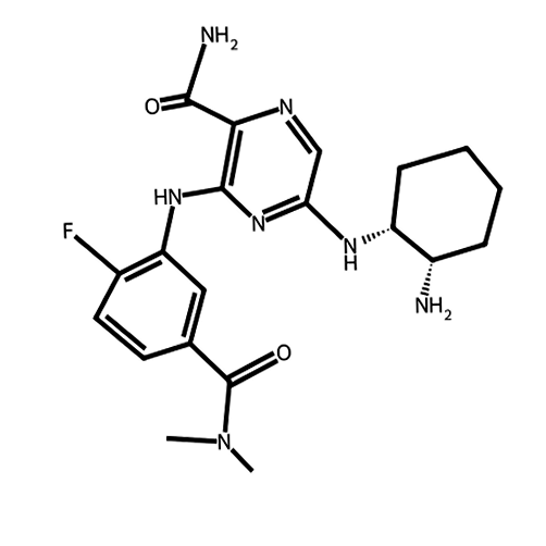 CN(C)C(=O)c1ccc(F)c(Nc2nc(N[C@@H]3CCCC[C@@H]3N)cnc2C(N)=O)c1